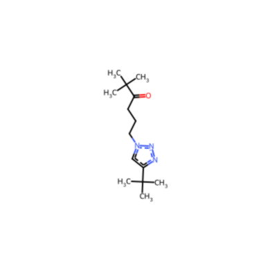 CC(C)(C)C(=O)CCCn1cc(C(C)(C)C)nn1